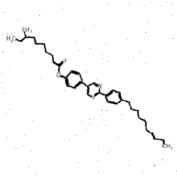 CCCCCCCCCCc1ccc(-c2ncc(-c3ccc(OC(=O)CCCCCCC(C)CC)cc3)cn2)cc1